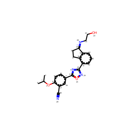 CC(C)Oc1ccc(-c2nc(-c3cccc4c3CC/C4=N/CCO)no2)cc1C#N